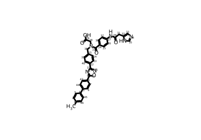 Cc1ccc(-c2ccc(-c3nc(-c4ccc(CN(CC(=O)O)C(=O)c5ccc(NC(=O)Cc6cnc[nH]6)cc5)cc4)no3)cc2)cc1